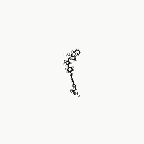 C[C@H](OC1CCCCO1)c1nccn1Cc1cc(-c2ccc(C#CC#CC3CN(CC(N)=O)C3)cc2)on1